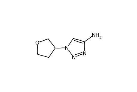 Nc1cn(C2CCOC2)nn1